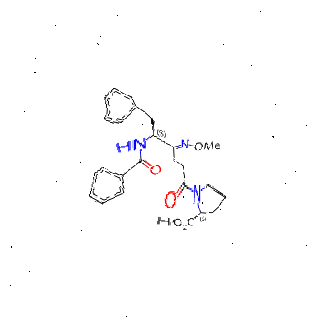 CON=C(CCC(=O)N1CCC[C@H]1C(=O)O)[C@H](Cc1ccccc1)NC(=O)c1ccccc1